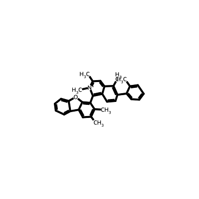 Cc1ccccc1-c1ccc2c(-c3c(C)c(C)cc4c3oc3ccccc34)[n+](C)c(C)cc2c1C